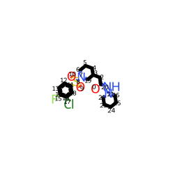 O=C(CC1CCCN(S(=O)(=O)c2ccc(F)c(Cl)c2)C1)NN1CCCCC1